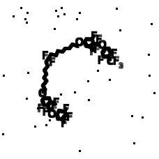 Fc1cc(OC(F)(F)c2c(F)cc(OCCCCCCCCC(F)(F)CCCCCCCCOc3cc(F)c(C(F)(F)Oc4cc(F)c(C(F)(F)F)c(F)c4)c(F)c3)cc2F)cc(F)c1F